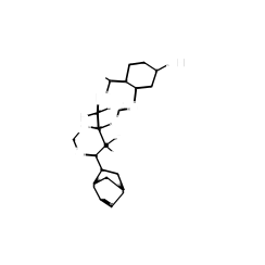 CC1CCC(C(C)C)C(OCOC2(C(F)(F)F)OCOC(C3CC4C=CC3C4)C2(F)F)C1